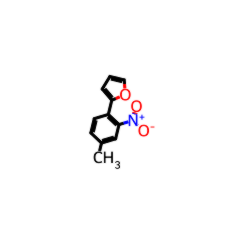 Cc1ccc(-c2ccco2)c([N+](=O)[O-])c1